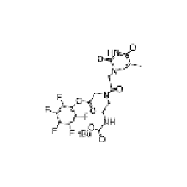 Cc1cn(CC(=O)N(CCNC(=O)OC(C)(C)C)CC(=O)Oc2c(F)c(F)c(F)c(F)c2F)c(=O)[nH]c1=O